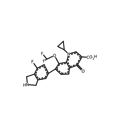 O=C(O)c1cn(C2CC2)c2c(OC(F)F)c(-c3cc(F)c4c(c3)CNC4)ccc2c1=O